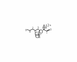 C=C[CH]([Al+2])OCCCCC.[Cl-].[Cl-]